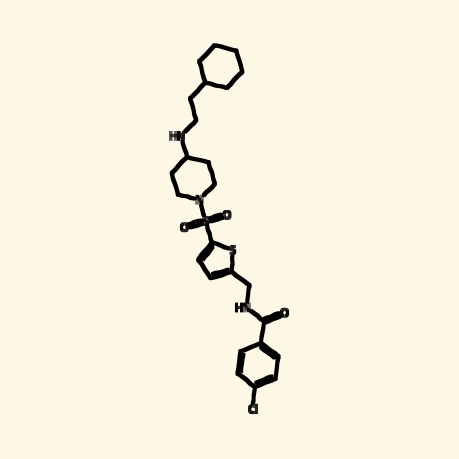 O=C(NCc1ccc(S(=O)(=O)N2CCC(NCCC3CCCCC3)CC2)s1)c1ccc(Cl)cc1